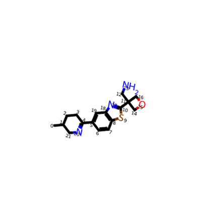 CC1CCC(c2ccc3sc(C4(CN)COC4)nc3c2)=NC1